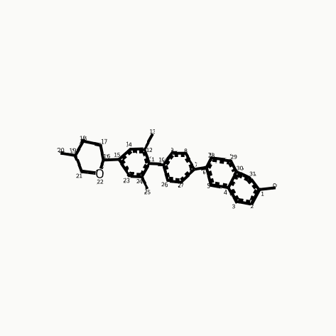 Cc1ccc2cc(-c3ccc(-c4c(C)cc(C5CCC(C)CO5)cc4C)cc3)ccc2c1